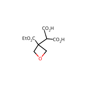 CCOC(=O)C1(C(C(=O)O)C(=O)O)COC1